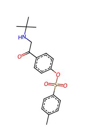 Cc1ccc(S(=O)(=O)Oc2ccc(C(=O)CNC(C)(C)C)cc2)cc1